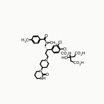 Cc1ccc(C(=O)N(C)C[C@@H](CCN2CCC(N3CCCNC3=O)CC2)c2ccc(Cl)c(Cl)c2)cc1.O=C(O)CC(O)(CC(=O)O)C(=O)O